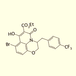 CCOC(=O)c1c(O)c2c(Br)ccc3c2n(c1=O)C(Cc1ccc(C(F)(F)F)cc1)CO3